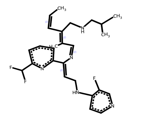 C\C=C/C(CNCC(C)C)=C(C)/C=N\C(=C/CNc1ccncc1F)c1cccc(C(F)F)n1